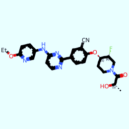 CCOc1ccc(Nc2ccnc(-c3ccc(O[C@H]4CCN(C(=O)[C@H](C)O)C[C@H]4F)c(C#N)c3)n2)cn1